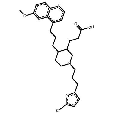 COc1ccc2nccc(CCCC3CCN(CCCc4ccc(Cl)s4)CC3CCC(=O)O)c2c1